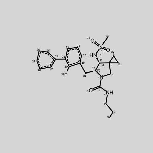 CCCNC(=O)N1CC2(CC2)[C@H](NS(C)(=O)=O)[C@@H]1Cc1cccc(-c2ccccc2)c1F